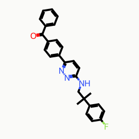 CC(C)(CNc1ccc(-c2ccc(C(=O)c3ccccc3)cc2)nn1)c1ccc(F)cc1